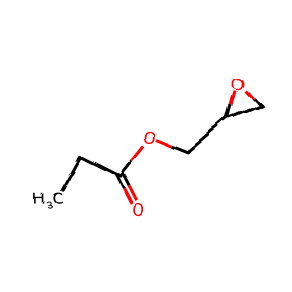 CCC(=O)OCC1CO1